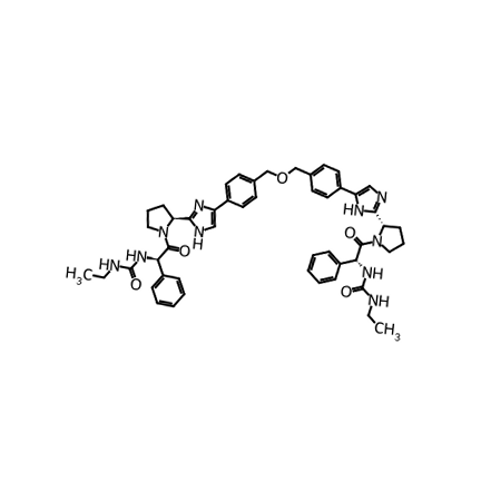 CCNC(=O)N[C@@H](C(=O)N1CCC[C@H]1c1nc(-c2ccc(COCc3ccc(-c4cnc([C@@H]5CCCN5C(=O)[C@H](NC(=O)NCC)c5ccccc5)[nH]4)cc3)cc2)c[nH]1)c1ccccc1